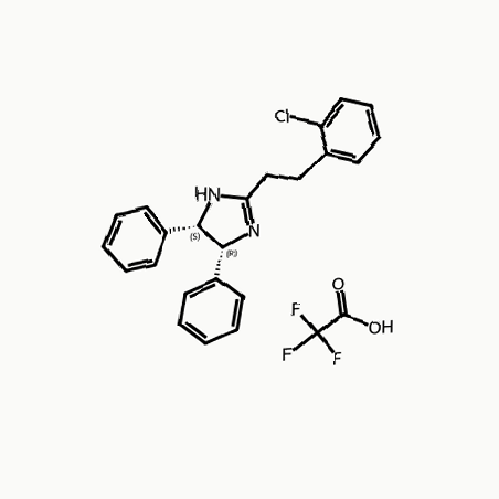 Clc1ccccc1CCC1=N[C@H](c2ccccc2)[C@H](c2ccccc2)N1.O=C(O)C(F)(F)F